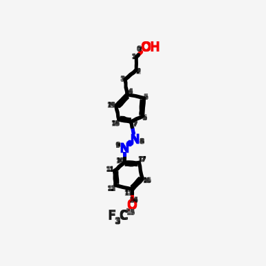 OCCCc1ccc(N=Nc2ccc(OC(F)(F)F)cc2)cc1